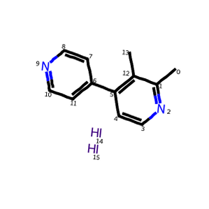 Cc1nccc(-c2ccncc2)c1C.I.I